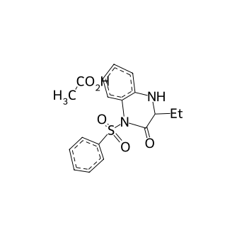 CC(=O)O.CCC1Nc2ccccc2N(S(=O)(=O)c2ccccc2)C1=O